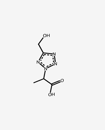 CC(C(=O)O)n1nnc(CO)n1